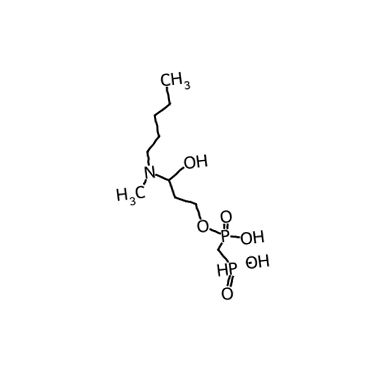 CCCCCN(C)C(O)CCOP(=O)(O)C[PH](=O)O